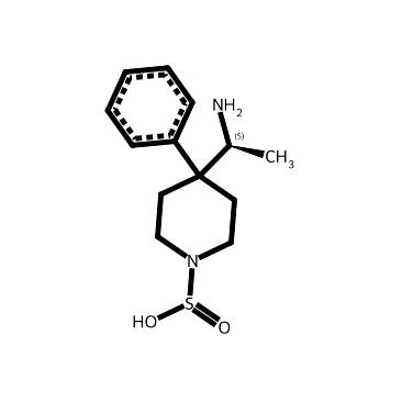 C[C@H](N)C1(c2ccccc2)CCN(S(=O)O)CC1